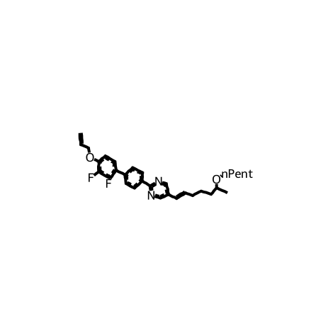 C=CCOc1ccc(-c2ccc(-c3ncc(/C=C/CCCC(C)OCCCCC)cn3)cc2)c(F)c1F